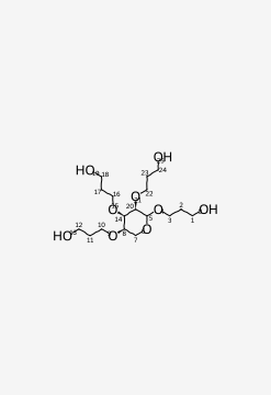 OCCCOC1OC[C@@H](OCCCO)[C@@H](OCCCO)[C@H]1OCCCO